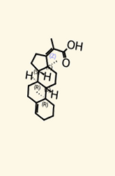 C/C(C(=O)O)=C1\CC[C@H]2[C@@H]3CCC4=CCCC[C@]4(C)[C@H]3CC[C@]12C